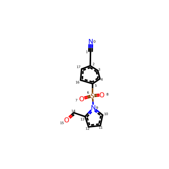 N#Cc1ccc(S(=O)(=O)n2cccc2C=O)cc1